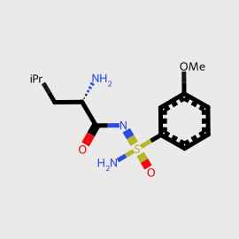 COc1cccc(S(N)(=O)=NC(=O)[C@@H](N)CC(C)C)c1